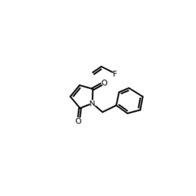 C=CF.O=C1C=CC(=O)N1Cc1ccccc1